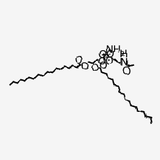 CCCCCCCCCCCCCCCCCC(=O)OCC(COP(=O)(ON)OCCNC(C)=O)OC(=O)CCCCCCCCCCCCCCCCC